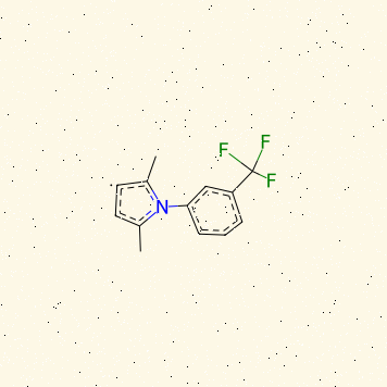 Cc1[c]cc(C)n1-c1cccc(C(F)(F)F)c1